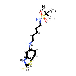 CC(C)(C)S(=O)(=O)NCCCCCNc1ccc2sc(S)nc2c1